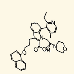 CCc1nccc(C)c1-c1cccc2c(CCCOc3cccc4ccccc34)c(C(=O)O)n(CC(=O)N3CCOCC3)c12